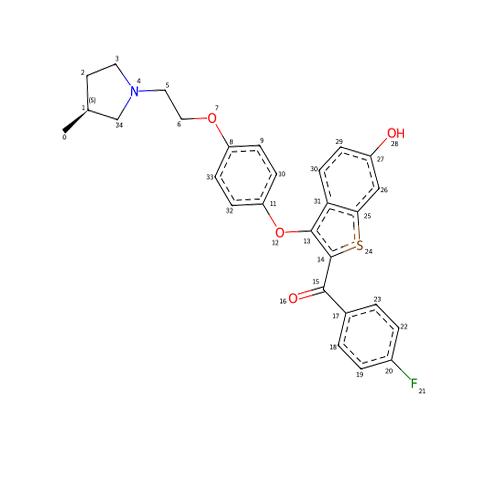 C[C@H]1CCN(CCOc2ccc(Oc3c(C(=O)c4ccc(F)cc4)sc4cc(O)ccc34)cc2)C1